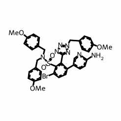 COc1ccc(CN(Cc2ccc(OC)cc2)S(=O)(=O)c2c(Br)ccc(-c3ccc(N)nc3)c2-c2nnn(Cc3ccc(OC)cc3)n2)cc1